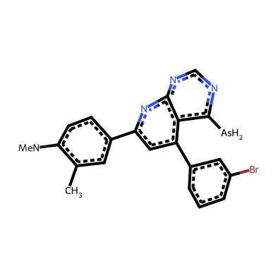 CNc1ccc(-c2cc(-c3cccc(Br)c3)c3c([AsH2])ncnc3n2)cc1C